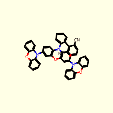 N#Cc1cccc(C#N)c1-c1ccccc1N1c2ccc(N3c4ccccc4Oc4ccccc43)cc2Oc2cc(N3c4ccccc4Oc4ccccc43)ccc21